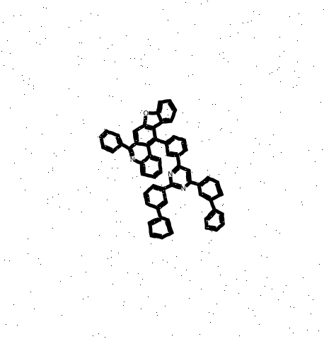 c1ccc(-c2cccc(-c3cc(-c4cccc(-c5c6c(cc7c(-c8ccccc8)nc8ccccc8c57)oc5ccccc56)c4)nc(-c4cccc(-c5ccccc5)c4)n3)c2)cc1